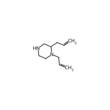 C=C[CH]N1CCNCC1CC=C